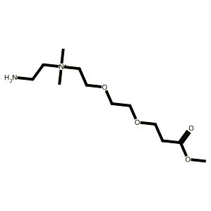 COC(=O)CCOCCOCC[N+](C)(C)CCN